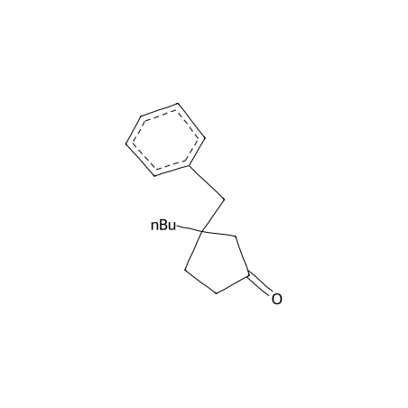 CCCCC1(Cc2ccccc2)CCC(=O)C1